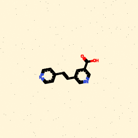 O=C(O)c1cncc(C=Cc2ccncc2)c1